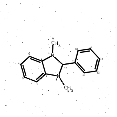 CN1c2ccccc2N(C)C1c1ccccc1